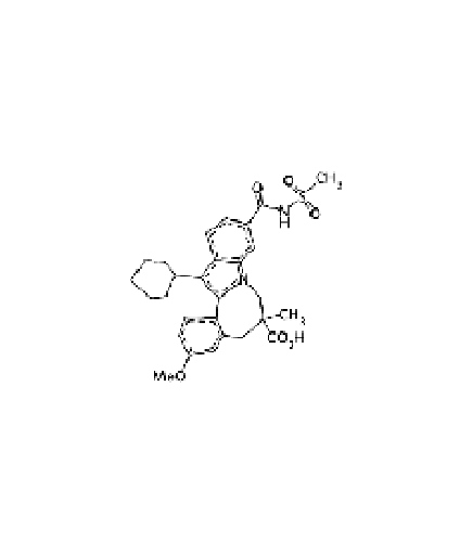 COc1ccc2c(c1)CC(C)(C(=O)O)Cn1c-2c(C2CCCCC2)c2ccc(C(=O)NS(C)(=O)=O)cc21